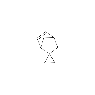 C1=CC2CC1CC21CC1